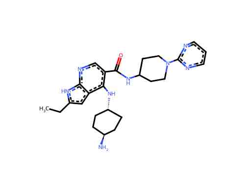 CCc1cc2c(N[C@H]3CC[C@H](N)CC3)c(C(=O)NC3CCN(c4ncccn4)CC3)cnc2[nH]1